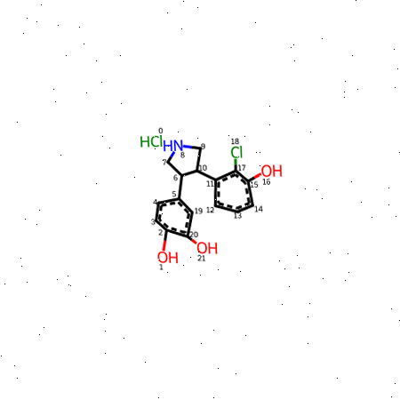 Cl.Oc1ccc(C2CNCC2c2cccc(O)c2Cl)cc1O